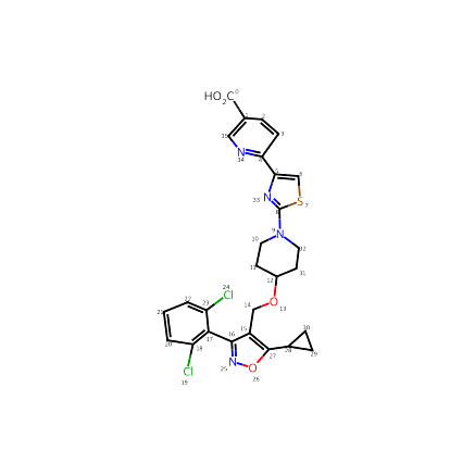 O=C(O)c1ccc(-c2csc(N3CCC(OCc4c(-c5c(Cl)cccc5Cl)noc4C4CC4)CC3)n2)nc1